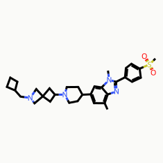 Cc1cc(C2CCN(C3CC4(C3)CN(CC3CCC3)C4)CC2)cc2c1nc(-c1ccc(S(C)(=O)=O)cc1)n2C